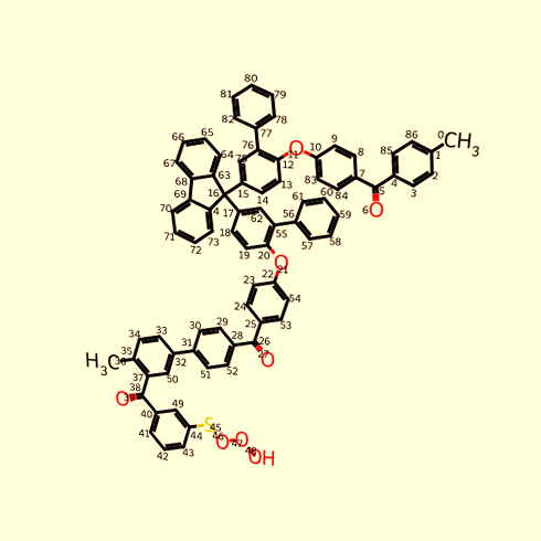 Cc1ccc(C(=O)c2ccc(Oc3ccc(C4(c5ccc(Oc6ccc(C(=O)c7ccc(-c8ccc(C)c(C(=O)c9cccc(SOOO)c9)c8)cc7)cc6)c(-c6ccccc6)c5)c5ccccc5-c5ccccc54)cc3-c3ccccc3)cc2)cc1